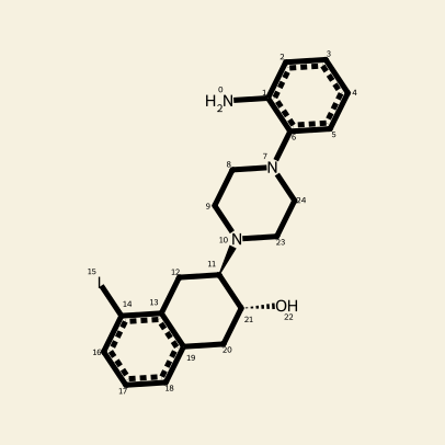 Nc1ccccc1N1CCN([C@@H]2Cc3c(I)cccc3C[C@H]2O)CC1